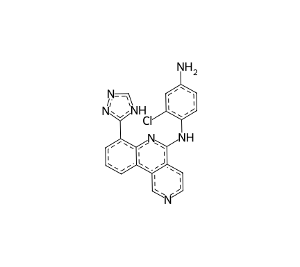 Nc1ccc(Nc2nc3c(-c4nnc[nH]4)cccc3c3cnccc23)c(Cl)c1